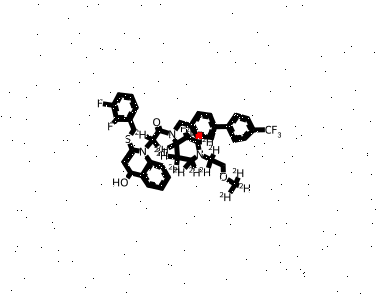 [2H]C([2H])([2H])OCC([2H])([2H])N1C([2H])([2H])C([2H])([2H])C([2H])(N(Cc2ccc(-c3ccc(C(F)(F)F)cc3)cc2)C(=O)C([2H])([2H])N2C(SCc3cccc(F)c3F)=CC(O)c3ccccc32)C([2H])([2H])C1([2H])[2H]